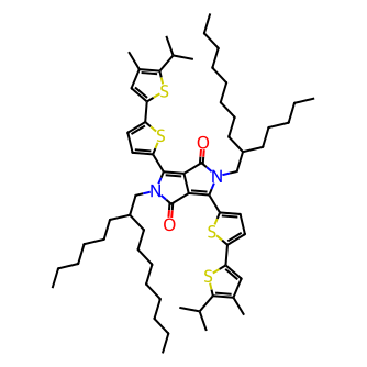 CCCCCCCCC(CCCCC)CN1C(=O)C2=C(c3ccc(-c4cc(C)c(C(C)C)s4)s3)N(CC(CCCCCC)CCCCCCCC)C(=O)C2=C1c1ccc(-c2cc(C)c(C(C)C)s2)s1